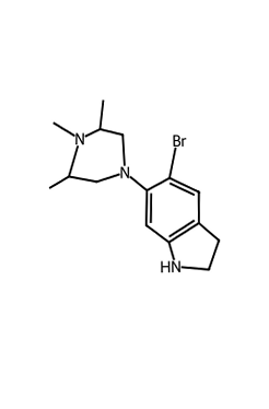 CC1CN(c2cc3c(cc2Br)CCN3)CC(C)N1C